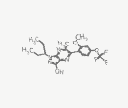 CCC(CC)n1nc(O)c2nc(-c3ccc(OC(F)(F)F)cc3OC)c(C)nc21